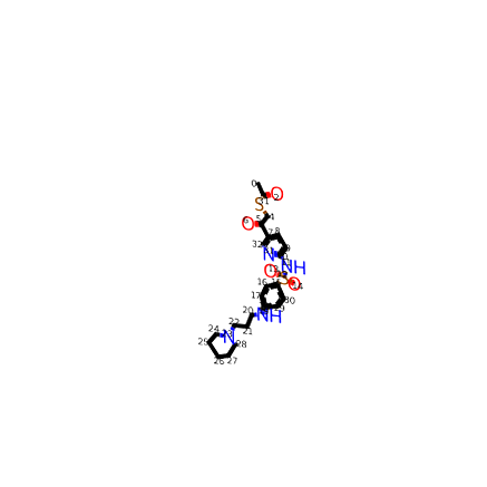 CC(=O)SCC(=O)c1ccc(NS(=O)(=O)c2ccc(NCCCN3CCCCC3)cc2)nc1